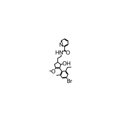 CCc1cc(Br)cc(C)c1C1=C(OC)CC(CCNC(=O)c2ccccn2)C1O